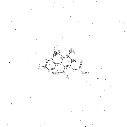 COC(=O)CC1=C(C(=O)OC)C(c2ccc(Cl)cc2Cl)C(C#N)=C(C)N1